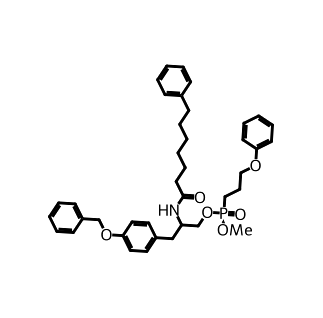 CO[P@](=O)(CCCOc1ccccc1)OCC(Cc1ccc(OCc2ccccc2)cc1)NC(=O)CCCCCCc1ccccc1